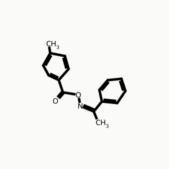 CC(=NOC(=O)c1ccc(C)cc1)c1ccccc1